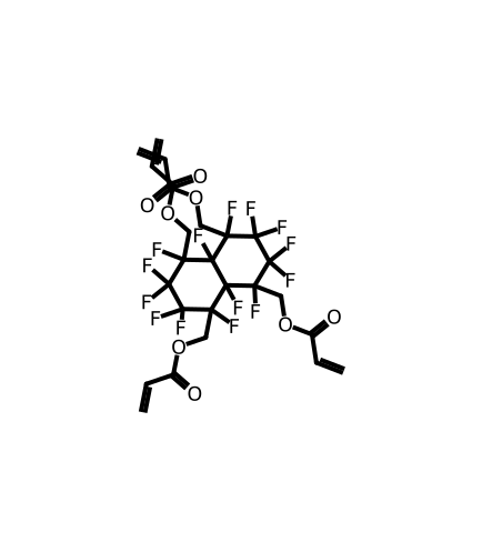 C=CC(=O)OCC1(F)C(F)(F)C(F)(F)C(F)(COC(=O)C=C)C2(F)C(F)(COC(=O)C=C)C(F)(F)C(F)(F)C(F)(COC(=O)C=C)C12F